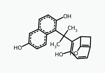 CC(C)(C1=C(O)C=CC2=C(O)C1C2)c1c(O)ccc2cc(O)ccc12